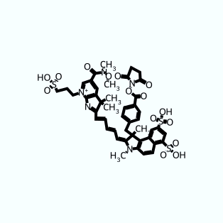 CON(C)C(=O)c1cc2c([n+](CCCS(=O)(=O)O)c1)N=C(/C=C/C=C/C=C1/N(C)c3ccc4c(S(=O)(=O)O)cc(S(=O)(=O)O)cc4c3C1(C)Cc1ccc(C(=O)ON3C(=O)CCC3=O)cc1)C2(C)C